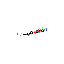 CCCCC[C@H]1CC[C@H]([C@H]2CC[C@H](CO[C@H]3CC[C@H](C(=O)Oc4cc(F)c(C#N)c(F)c4)CC3)CC2)CC1